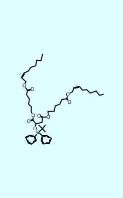 CCCCCC/C=C\COC(=O)CCCCCOC(=O)CC(O[Si](c1ccccc1)(c1ccccc1)C(C)(C)C)C(=O)OCCCCCC(=O)OC/C=C\CCCCCC